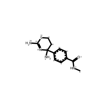 CNC(=O)c1ccc(C2(N)CCSC(N)=N2)cc1